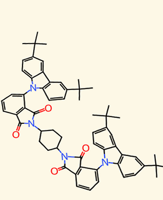 CC(C)(C)c1ccc2c(c1)c1cc(C(C)(C)C)ccc1n2-c1cccc2c1C(=O)N(C1CCC(N3C(=O)c4cccc(-n5c6ccc(C(C)(C)C)cc6c6cc(C(C)(C)C)ccc65)c4C3=O)CC1)C2=O